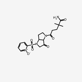 CC(C)(C[CH]C(=O)N1CCC2C1C(=O)CN2S(=O)(=O)c1cccc[n+]1[O-])C(N)=O